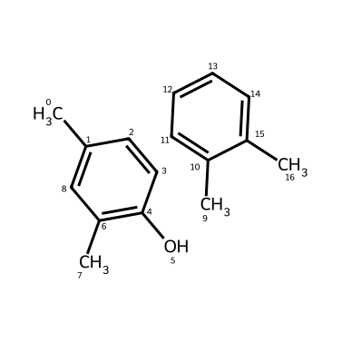 Cc1ccc(O)c(C)c1.Cc1ccccc1C